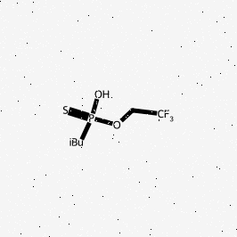 CCC(C)P(O)(=S)OCC(F)(F)F